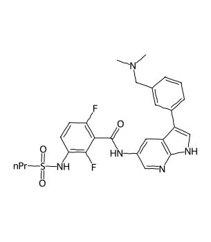 CCCS(=O)(=O)Nc1ccc(F)c(C(=O)Nc2cnc3[nH]cc(-c4cccc(CN(C)C)c4)c3c2)c1F